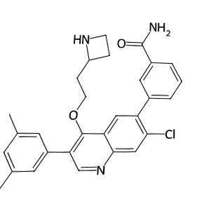 Cc1cc(C)cc(-c2cnc3cc(Cl)c(-c4cccc(C(N)=O)c4)cc3c2OCCC2CCN2)c1